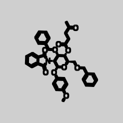 COc1ccc(O[C@@H]2O[C@H](COCc3ccccc3)[C@@H](OC(=O)CCC(C)=O)[C@H](OCc3ccccc3)[C@H]2N2C(=O)c3ccccc3C2=O)cc1